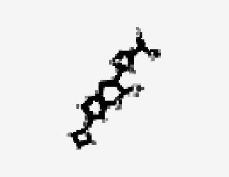 O=C(O)c1csc(C2=Cc3ccc(N4CCC4)cc3OC2O)n1